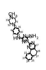 CN1CCN(c2ccc(Nc3nc(N)n(-c4ncc5c(n4)-c4ccccc4CC5)n3)cc2)CC1